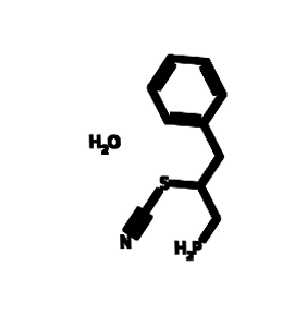 N#CSC(CP)Cc1ccccc1.O